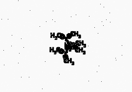 CC[N+](CC)(CC)CC.Cc1ccc(C(CCCOB(O)OCCCC(c2ccc(C)cc2)c2ccc(C)cc2)c2ccc(C)cc2)cc1